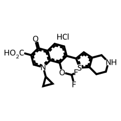 Cl.O=C(O)c1cn(C2CC2)c2c(OC(F)F)c(-c3cc4c(s3)CCNC4)ccc2c1=O